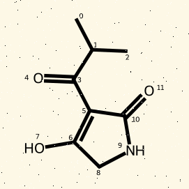 CC(C)C(=O)C1=C(O)CNC1=O